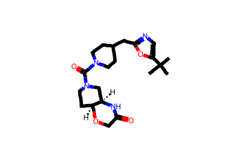 CC(C)(C)c1cnc(CC2CCN(C(=O)N3CC[C@@H]4OCC(=O)N[C@@H]4C3)CC2)o1